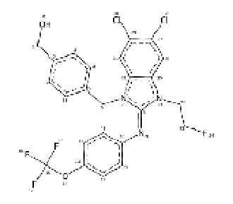 OCc1ccc(Cn2/c(=N\c3ccc(OC(F)(F)F)cc3)n(CCF)c3cc(Cl)c(Cl)cc32)cc1